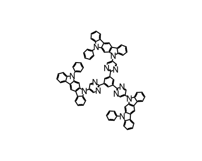 c1ccc(-n2c3ccccc3c3cc4c5ccccc5n(-c5cnc(-c6cc(-c7ncc(-n8c9ccccc9c9cc%10c%11ccccc%11n(-c%11ccccc%11)c%10cc98)cn7)cc(-c7ncc(-n8c9ccccc9c9cc%10c%11ccccc%11n(-c%11ccccc%11)c%10cc98)cn7)c6)nc5)c4cc32)cc1